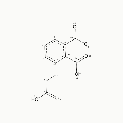 O=C(O)CCc1cccc(C(=O)O)c1C(=O)O